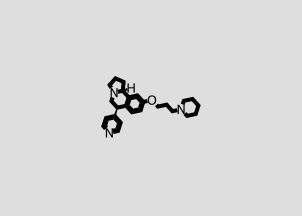 c1cc([C@H]2CN3CCC[C@@H]3c3cc(OCCCN4CCCCC4)ccc32)ccn1